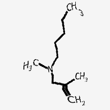 C=C(C)CN(C)CCCCC